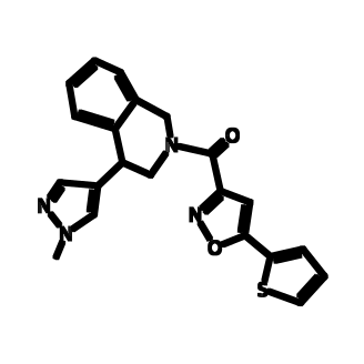 Cn1cc(C2CN(C(=O)c3cc(-c4cccs4)on3)Cc3ccccc32)cn1